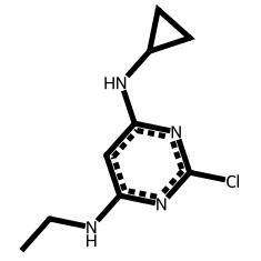 CCNc1cc(NC2CC2)nc(Cl)n1